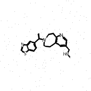 CNCc1cnc2c(c1)CCN(C(C)c1ccc3scnc3c1)CC2